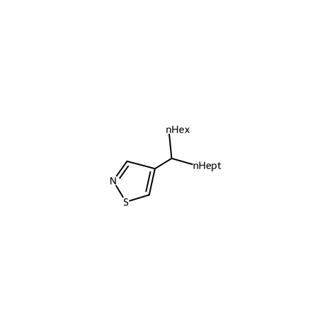 CCCCCCCC(CCCCCC)c1cnsc1